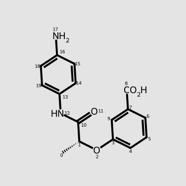 C[C@@H](Oc1cccc(C(=O)O)c1)C(=O)Nc1ccc(N)cc1